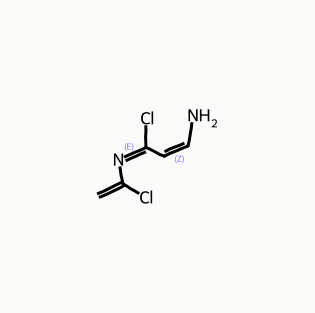 C=C(Cl)/N=C(Cl)\C=C/N